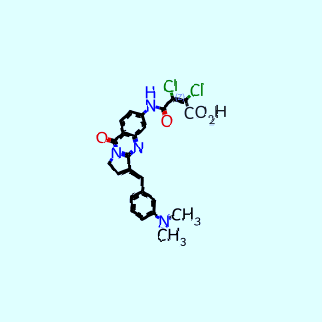 CN(C)c1cccc(C=C2CCn3c2nc2cc(NC(=O)/C(Cl)=C(/Cl)C(=O)O)ccc2c3=O)c1